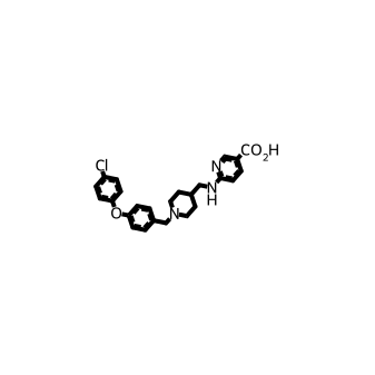 O=C(O)c1ccc(NCC2CCN(Cc3ccc(Oc4ccc(Cl)cc4)cc3)CC2)nc1